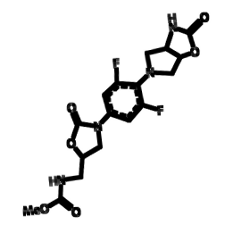 COC(=O)NCC1CN(c2cc(F)c(N3CC4NC(=O)OC4C3)c(F)c2)C(=O)O1